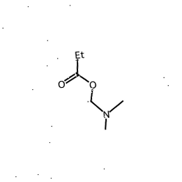 CCC(=O)O[CH]N(C)C